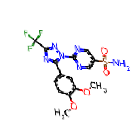 COc1ccc(-c2nc(C(F)(F)F)nn2-c2ncc(S(N)(=O)=O)cn2)cc1OC